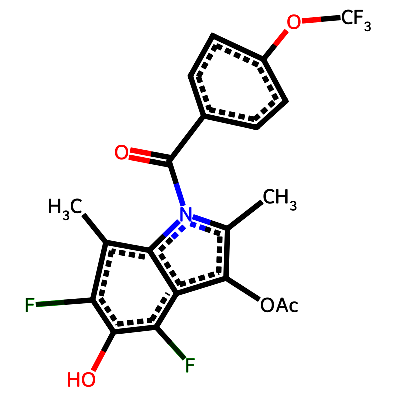 CC(=O)Oc1c(C)n(C(=O)c2ccc(OC(F)(F)F)cc2)c2c(C)c(F)c(O)c(F)c12